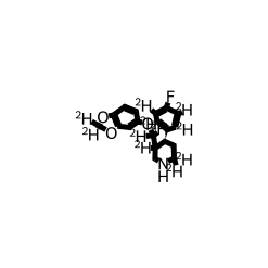 [2H]c1c([2H])c([C@@H]2CC([2H])([2H])NCC2([2H])C([2H])([2H])Oc2ccc3c(c2)OC([2H])([2H])O3)c([2H])c([2H])c1F